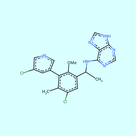 COc1c(C(C)Nc2ncnc3[nH]cnc23)cc(Cl)c(C)c1-c1cncc(Cl)c1